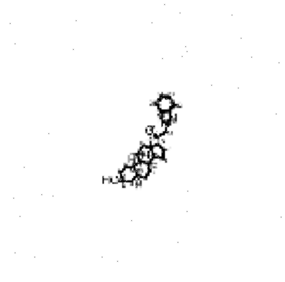 C[C@@]1(O)CC[C@H]2[C@H](CC[C@@H]3[C@@H]2CC[C@]2(C)[C@@H](C(=O)Cn4nc5ccccc5n4)CC[C@@H]32)C1